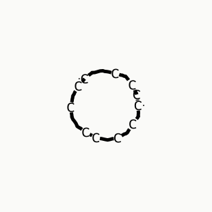 [CH]1CCCCCC[CH]CCCCCCCCCCCC1